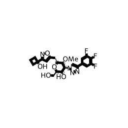 CO[C@@H]1[C@@H](n2cc(-c3cc(F)c(F)c(F)c3)nn2)[C@@H](O)[C@@H](CO)O[C@@H]1Cc1cc(C2(O)CCC2)no1